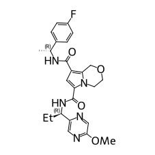 CC[C@@H](NC(=O)c1cc(C(=O)N[C@H](C)c2ccc(F)cc2)c2n1CCOC2)c1cnc(OC)cn1